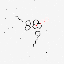 CCCCC[C@H]1CC[C@H](C2(CC(C3CCCCC3)C3([C@H]4CC[C@H](CCCCC)CC4)CCCCC3)CCC(OC=O)CC2)CC1